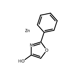 Oc1coc(-c2ccccc2)n1.[Zn]